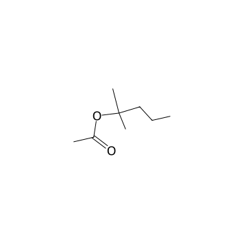 CCCC(C)(C)OC(C)=O